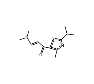 Cc1nc(C(C)C)sc1C(=O)/C=C/N(C)C